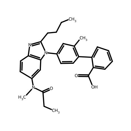 CCCCc1nc2ccc(N(C)C(=O)CC)cc2n1-c1ccc(-c2ccccc2C(=O)O)c(C)c1